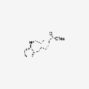 COC(=O)c1ccc2c(c1)C=Nc1ccccc1C2